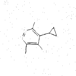 Cc1c(Cl)nnc(Cl)c1C1CC1